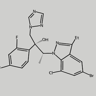 CCc1nn([C@H](C)[C@](O)(Cn2cncn2)c2ccc(F)cc2F)c2c(Cl)cc(Br)cc12